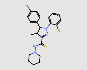 CC1C(C(=S)NN2CCCCC2)=NN(c2ccccc2Cl)C1c1ccc(Cl)cc1